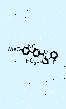 COc1ccc(-c2ccc(C(=O)N3[C@@H](c4ccccc4F)CC[C@H]3C(=O)O)cc2C#N)cc1